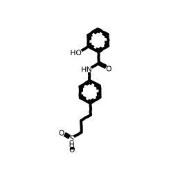 O=C(Nc1ccc(CCC[SH](=O)=O)cc1)c1ccccc1O